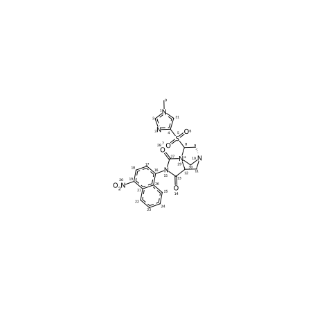 Cn1cnc(S(=O)(=O)C2C[N@]3CC4C(=O)N(c5ccc([N+](=O)[O-])c6ccccc56)C(=O)[N+]42C3)c1